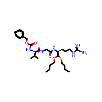 CCCCOC(OCCCC)[C@H](CCCNC(=N)N)NC(=O)CNC(=O)[C@H](NC(=O)OCc1ccccc1)C(C)C